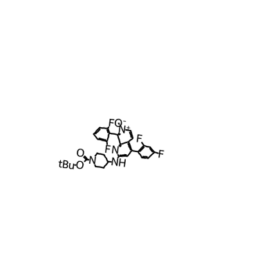 CC(C)(C)OC(=O)N1CCC(Nc2cc(-c3ccc(F)cc3F)c3cc[n+]([O-])c(-c4c(F)cccc4F)c3n2)CC1